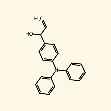 C=CC(O)c1ccc(N(c2ccccc2)c2ccccc2)cc1